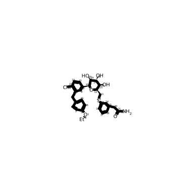 CCOc1ccc(Cc2cc([C@@H]3O[C@H](CSc4cccc(CC(N)=O)c4)[C@H](O)[C@@H](O)[C@H]3O)ccc2Cl)cc1